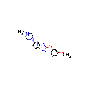 COc1ccc(CN(Cc2ccc(N3CCN(C)CC3)cc2)C(N)=O)cc1